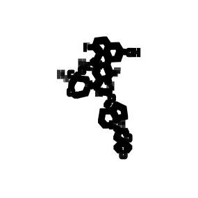 C#Cc1c(F)ccc2cc(O)cc(-c3ncc4c(N5CCOC[C@@](C)(O)C5)nc(OC[C@]56CCC[C@H]5N(C5COC7(COC7)C5)CCC6)nc4c3F)c12